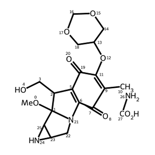 COC12C(CO)C3=C(C(=O)C(C)=C(OC4COCOC4)C3=O)N1CC1NC12.NC(=O)O